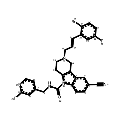 N#Cc1ccc2c(c1)c1c(n2C(=O)NCc2ccnc(F)c2)CCN(C/C=C/c2cc(F)ccc2Br)C1